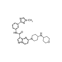 Cn1cnc(-c2cccc(NC(=O)c3cnn4ccc(N5CCC(NC6CCOCC6)CC5)nc34)c2)n1